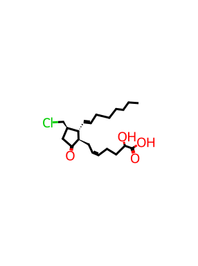 CCCCCC/C=C/[C@H]1[C@H](CCl)CC(=O)[C@@H]1C/C=C\CCC(O)C(=O)O